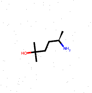 C[C@@H](N)CCC(C)(C)O